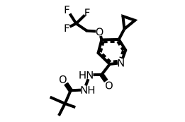 CC(C)(C)C(=O)NNC(=O)c1cc(OCC(F)(F)F)c(C2CC2)cn1